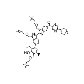 CCc1c(-c2ccc3c(-c4nc5c(n4COCC[Si](C)(C)C)CN(C(=O)c4cnc(N6CCOCC6)cn4)C5)nn(COCC[Si](C)(C)C)c3c2)cc(F)c(COCC[Si](C)(C)C)c1O